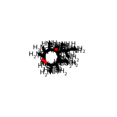 C[C@@H]1NC(=O)[C@@H]2CCCN2C(=O)[C@@H](CCCCN)NC(=O)[C@H](CCCCN)NC(=O)[C@H](CCCNC(=N)N)NC(=O)[C@H](Cc2ccc(O)cc2)NC(=O)[C@@H](NC(=O)[C@H](CCCNC(=N)N)NC(=O)[C@H](CCCNC(=N)N)NC(=O)[C@@H](N)CCCNC(=N)N)CSSC[C@@H](C(=O)N[C@@H](CCCNC(=N)N)C(=O)O)NC(=O)[C@H](CCCNC(N)=O)NC(=O)[C@H](CCCNC(=N)N)NC1=O